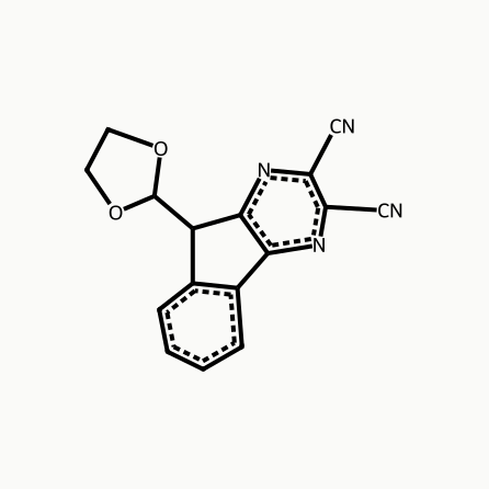 N#Cc1nc2c(nc1C#N)C(C1OCCO1)c1ccccc1-2